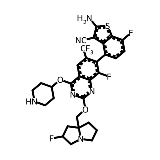 N#Cc1c(N)sc2c(F)ccc(-c3c(C(F)(F)F)cc4c(OC5CCNCC5)nc(OCC56CCCN5CC(F)C6)nc4c3F)c12